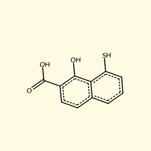 O=C(O)c1ccc2cccc(S)c2c1O